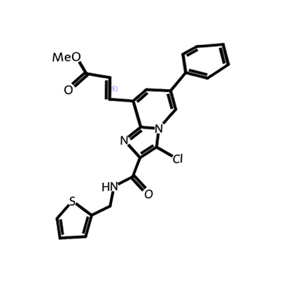 COC(=O)/C=C/c1cc(-c2ccccc2)cn2c(Cl)c(C(=O)NCc3cccs3)nc12